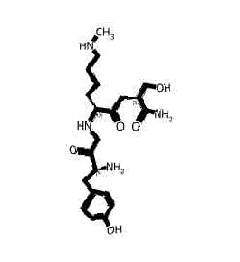 CNCCCC[C@H](NCC(=O)[C@@H](N)Cc1ccc(O)cc1)C(=O)C[C@@H](CO)C(N)=O